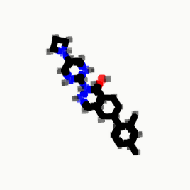 Cc1ccc(C2CCc3c(cnn(-c4ncc(N5CCC5)cn4)c3=O)C2)c(C)c1